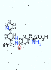 CC(C)[C@@H](CNC(=O)c1ccc(CC(N)C(=O)O)cc1)c1ccc(-c2ccccn2)cc1